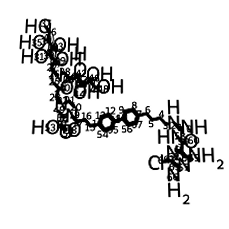 N=C(NCCCCc1ccc(-c2ccc(CCC(=O)N3CCN(CCCN(C[C@H](O)[C@@H](O)[C@H](O)[C@H](O)CO)C[C@H](O)[C@@H](O)[C@H](O)[C@H](O)CO)C[C@@H]3C(=O)O)cc2)cc1)NC(=O)c1nc(Cl)c(N)nc1N